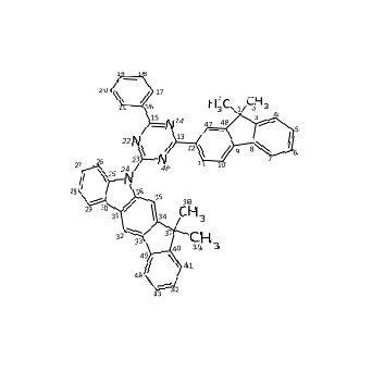 CC1(C)c2ccccc2-c2ccc(-c3nc(-c4ccccc4)nc(-n4c5ccccc5c5cc6c(cc54)C(C)(C)c4ccccc4-6)n3)cc21